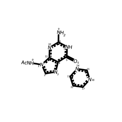 CC(=O)Nn1cnc2c(=O)[nH]c(N)nc21.c1cncnc1